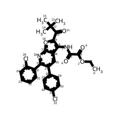 CCOC(=O)C(=O)Nc1c(C(=O)C(C)(C)C)oc2nc(-c3ccccc3Cl)c(-c3ccc(Cl)cc3)cc12